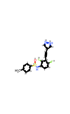 Cc1ccc([S+]([O-])Nc2ccc(F)c(C#Cc3cn[nH]c3)c2F)cc1